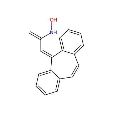 C=C(C=C1c2ccccc2C=Cc2ccccc21)NO